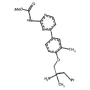 COC(=O)Nc1nccc(-c2ccc(OCC(C)(N)CC(C)C)c(C)c2)n1